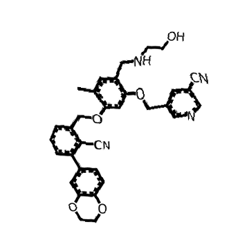 Cc1cc(CNCCO)c(OCc2cncc(C#N)c2)cc1OCc1cccc(-c2ccc3c(c2)OCCO3)c1C#N